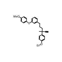 C#CC(C)(CCCc1cccc(Oc2ccc(OC)cc2)c1)c1ccc(OCC)cc1